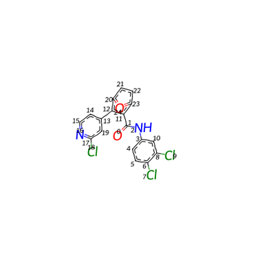 O=C(Nc1ccc(Cl)c(Cl)c1)c1c(-c2ccnc(Cl)c2)c2ccc1o2